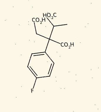 CC(C(=O)O)C(CC(=O)O)(C(=O)O)c1ccc(F)cc1